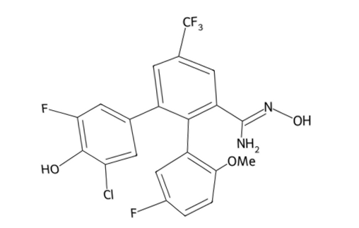 COc1ccc(F)cc1-c1c(/C(N)=N/O)cc(C(F)(F)F)cc1-c1cc(F)c(O)c(Cl)c1